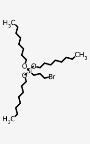 CCCCCCCCO[Si](CCCBr)(OCCCCCCCC)OCCCCCCCC